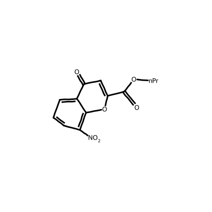 CCCOC(=O)c1cc(=O)c2cccc([N+](=O)[O-])c2o1